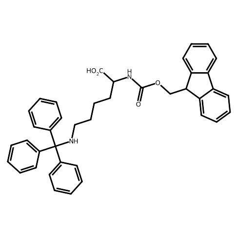 O=C(NC(CCCCNC(c1ccccc1)(c1ccccc1)c1ccccc1)C(=O)O)OCC1c2ccccc2-c2ccccc21